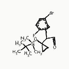 CC(C)(C)[Si](C)(C)OC1(C(C=O)c2cc(Br)ccc2F)CC1